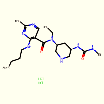 CCNC(=O)N[C@H]1CNC[C@@H](N(CC(C)C)C(=O)c2cnc(C(C)(C)C)nc2NCCCSC)C1.Cl.Cl